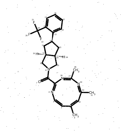 Cc1ccnc(C(=O)N2C[C@H]3C[C@@H](c4ccccc4C(F)(F)F)C[C@H]3C2)nc(C)nc(C)c1